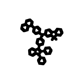 CC1(C)c2ccccc2-c2ccc(N(c3ccc(-c4cccc5ccccc45)cc3)c3ccc(-c4c(-c5ccccc5)n(-c5ccccc5)c5ccccc45)cc3)cc21